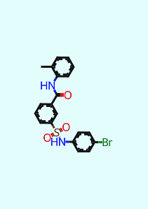 Cc1ccccc1NC(=O)c1cccc(S(=O)(=O)Nc2ccc(Br)cc2)c1